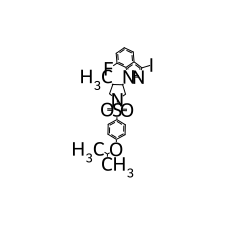 CC(C)Oc1ccc(S(=O)(=O)N2C[C@@H](C)[C@@H](n3nc(I)c4cccc(F)c43)C2)cc1